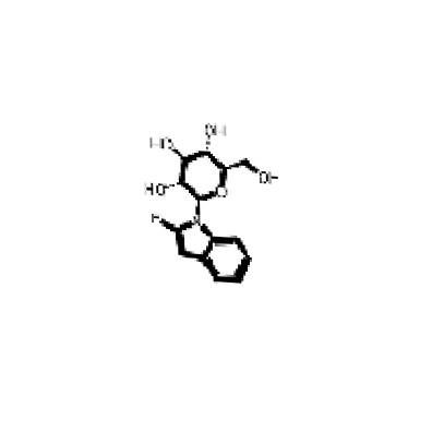 OC[C@H]1O[C@@H](n2c(F)cc3ccccc32)[C@H](O)[C@@H](O)[C@@H]1O